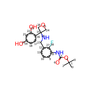 CC(C)(C)OC(=O)Nc1cccc(CNC2(c3ccc(O)cc3O)COC2)c1F